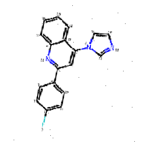 Fc1ccc(-c2cc(-n3ccnc3)c3ccccc3n2)cc1